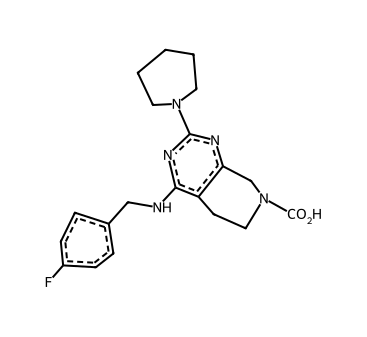 O=C(O)N1CCc2c(nc(N3CCCCC3)nc2NCc2ccc(F)cc2)C1